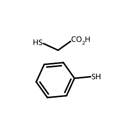 O=C(O)CS.Sc1ccccc1